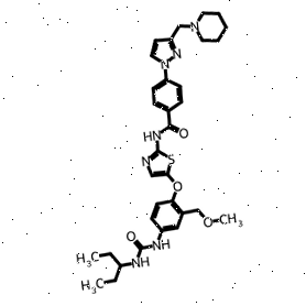 CCC(CC)NC(=O)Nc1ccc(Oc2cnc(NC(=O)c3ccc(-n4ccc(CN5CCCCC5)n4)cc3)s2)c(COC)c1